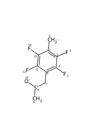 [CH2]c1c(F)c(F)c(C[S+](C)[O-])c(F)c1F